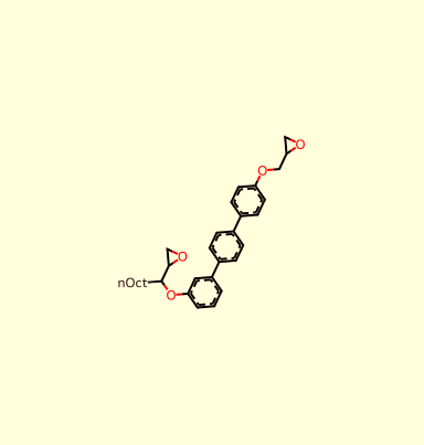 CCCCCCCCC(Oc1cccc(-c2ccc(-c3ccc(OCC4CO4)cc3)cc2)c1)C1CO1